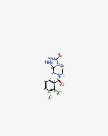 O=C(c1cccc(Cl)c1Cl)N1CCN2C(Br)=NNC2C1